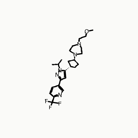 COCCN1CCN([C@H]2CC[C@H](c3cc(-c4ccc(C(F)(F)F)nc4)nn3C(C)C)C2)CC1